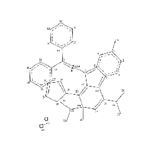 Cc1ccc2c(c1)=[C]([Zr+2]=[C](c1ccccc1)c1ccccc1)C1=C(C3=CC=CC3)C(C)(C(C)C)C=C(C(C)C)C=21.[Cl-].[Cl-]